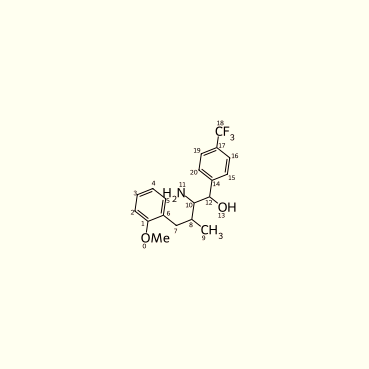 COc1ccccc1CC(C)C(N)C(O)c1ccc(C(F)(F)F)cc1